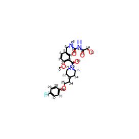 COc1ccc(CN(C)C(=O)NC(=O)C=O)cc1C(=O)N1CCC(CCOc2ccc(F)cc2)CC1